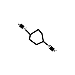 [C-]#[N+]C1CCC([N+]#[C-])CC1